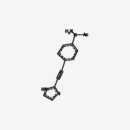 CC(=O)N(N)c1ccc(C#Cc2ncc[nH]2)cc1